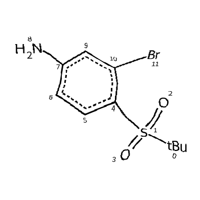 CC(C)(C)S(=O)(=O)c1ccc(N)cc1Br